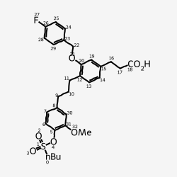 CCCCS(=O)(=O)Oc1ccc(CCCc2ccc(CCC(=O)O)cc2OCc2ccc(F)cc2)cc1OC